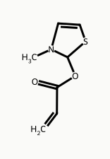 C=CC(=O)OC1SC=CN1C